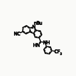 CCCCn1c2ccc(C#N)cc2c2cc(C(=N)Nc3cccc(C(F)(F)F)c3)ccc21